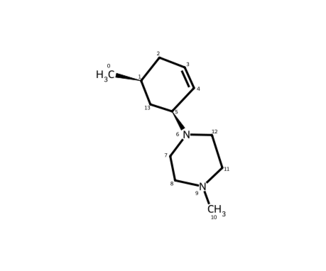 C[C@H]1CC=C[C@@H](N2CCN(C)CC2)C1